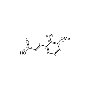 COc1cccc(/C=C/[N+](=O)O)c1C(C)C